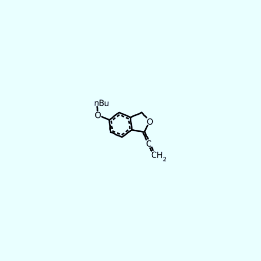 C=C=C1OCc2cc(OCCCC)ccc21